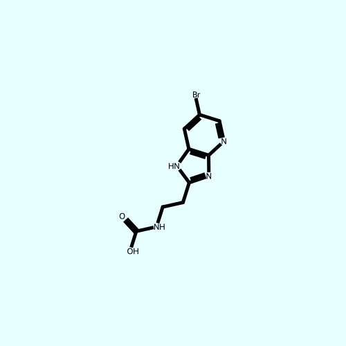 O=C(O)NCCc1nc2ncc(Br)cc2[nH]1